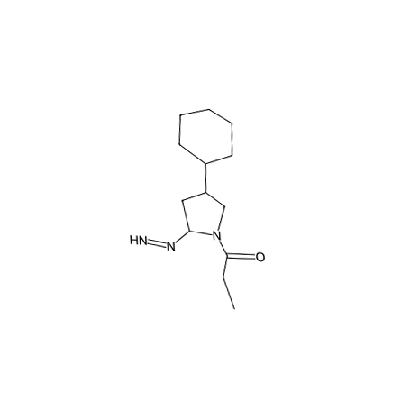 CCC(=O)N1CC(C2CCCCC2)CC1N=N